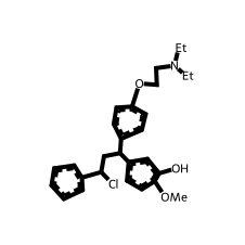 CCN(CC)CCOc1ccc(C(CC(Cl)c2ccccc2)c2ccc(OC)c(O)c2)cc1